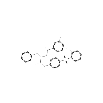 C[C@H](Cc1ccc(S(=O)(=O)c2ccccc2O)cc1)N(Cc1ccccc1)C[C@@H](O)c1cccc(Cl)c1